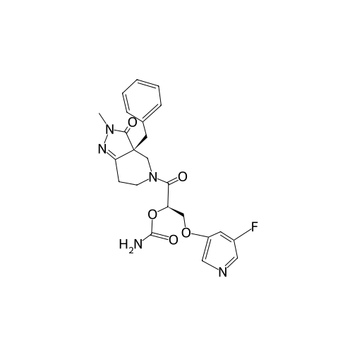 CN1N=C2CCN(C(=O)[C@@H](COc3cncc(F)c3)OC(N)=O)C[C@@]2(Cc2ccccc2)C1=O